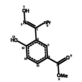 CCCC(=NO)c1cc(C(=O)OC)ccc1O